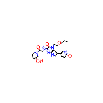 CCCOCCn1c(=O)c(N(C)CC(=O)N2CCC[C@H](O)C2)nc2ncc(-c3ccc(OC)nc3)cc21